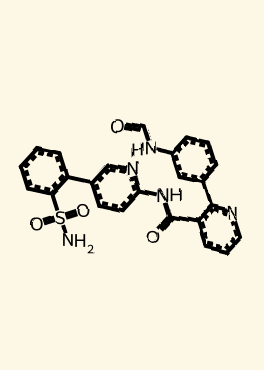 NS(=O)(=O)c1ccccc1-c1ccc(NC(=O)c2cccnc2-c2cccc(NC=O)c2)nc1